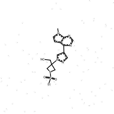 CCS(=O)(=O)N1CC(CC#N)(n2cc(-c3ncnc4c3ccn4C)cn2)C1